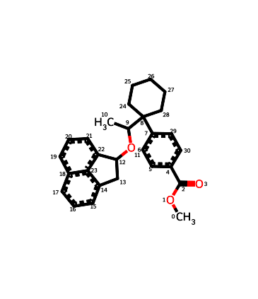 COC(=O)c1ccc(C2(C(C)OC3Cc4cccc5cccc3c45)CCCCC2)cc1